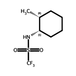 C[C@@H]1CCCC[C@@H]1NS(=O)(=O)C(F)(F)F